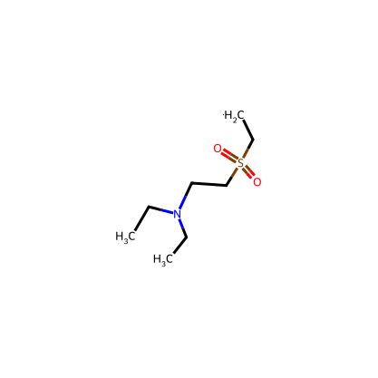 [CH2]CS(=O)(=O)CCN(CC)CC